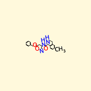 Cc1ccc2c(c1)CCN[C@@H]2C(=O)NC(C#N)CC(=O)OCc1ccccc1